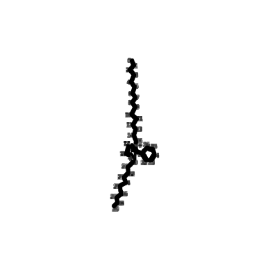 CCCCCCCCCCCCCCCC[n+]1ccn(CCCCCCCCCC)c1-c1ccccc1